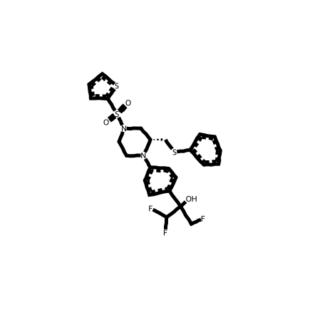 O=S(=O)(c1cccs1)N1CCN(c2ccc(C(O)(CF)C(F)F)cc2)[C@@H](CSc2ccccc2)C1